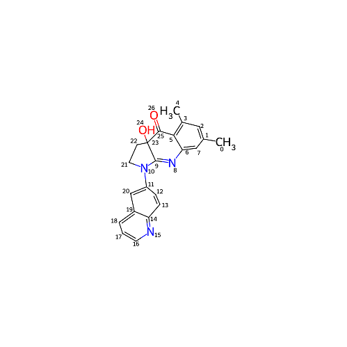 Cc1cc(C)c2c(c1)N=C1N(c3ccc4ncccc4c3)CCC1(O)C2=O